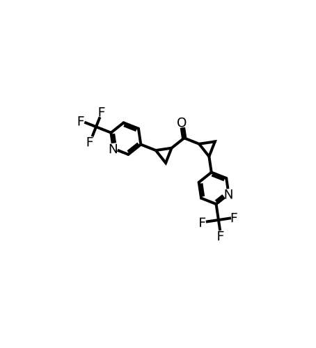 O=C(C1CC1c1ccc(C(F)(F)F)nc1)C1CC1c1ccc(C(F)(F)F)nc1